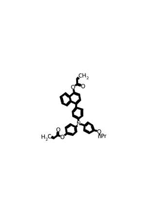 C=CC(=O)Oc1ccc(N(c2ccc(OCCC)cc2)c2ccc(-c3ccc(OC(=O)C=C)c4ccccc34)cc2)cc1